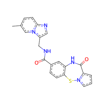 Cc1ccc2ncc(CNC(=O)c3ccc4c(c3)NC(=O)c3cccn3S4)n2c1